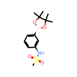 CC1(C)OB(c2cccc(NS(C)(=O)=O)c2)OC1(C)C